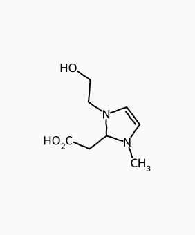 CN1C=CN(CCO)C1CC(=O)O